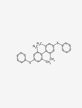 Cc1cc(Sc2ccccc2)cc(C)c1-c1c(C)cc(Sc2ccccc2)cc1C